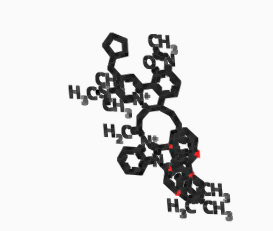 C=C1CC2C(CCc3ccc4c(oc5ccccc54)c3-c3n(-c4ccc(C(C)(C)C)cc4-c4ccccc4)c4ccccc4[n+]31)c1ccc3nc(C)oc3c1-c1cc(CC3CCCC3)c([Si](C)(C)C)c[n+]12